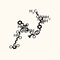 CCCCOc1nc(N)c2[nH]nc(Cc3ccc(CN4CCN(C(=O)[C@@H](OCNC(=O)CNC(=O)[C@H](Cc5ccccc5)NC(=O)CNC(=O)CNC(=O)CCCCCN5C(=O)C=CC5=O)C5CC5)CC4)cc3)c2n1